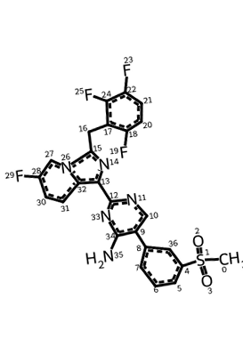 CS(=O)(=O)c1cccc(-c2cnc(-c3nc(Cc4c(F)ccc(F)c4F)n4cc(F)ccc34)nc2N)c1